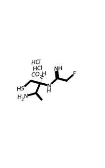 CC(N)[C@@](CS)(NC(=N)CF)C(=O)O.Cl.Cl